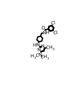 Cc1cc(N(C)C)nc(NC2CCC(CNC(=O)c3cc(Cl)cc(Cl)c3)CC2)n1